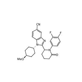 CO[C@H]1CC[C@H](n2c(C3CCCC(=O)N3c3ccc(F)c(F)c3)nc3cc(C#N)ccc32)CC1